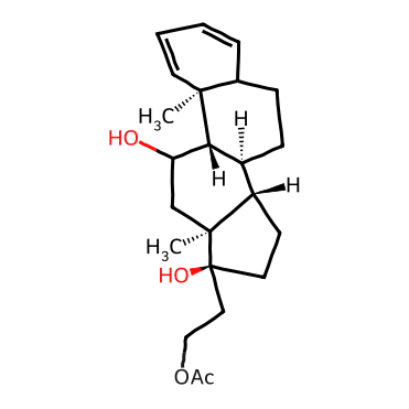 CC(=O)OCC[C@@]1(O)CC[C@H]2[C@@H]3CCC4C=CC=C[C@]4(C)[C@H]3C(O)C[C@@]21C